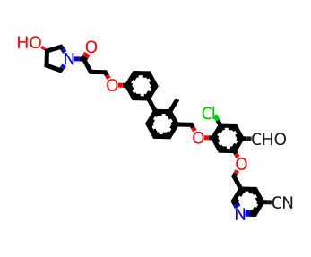 Cc1c(COc2cc(OCc3cncc(C#N)c3)c(C=O)cc2Cl)cccc1-c1cccc(OCCC(=O)N2CC[C@@H](O)C2)c1